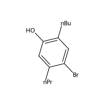 CCCCc1cc(Br)c(CCC)cc1O